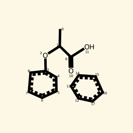 CC(Oc1ccccc1)C(=O)O.c1ccccc1